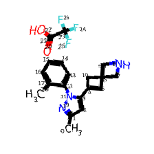 Cc1cc(C2=CC3(CNC3)C2)n(-c2ccccc2C)n1.O=C(O)C(F)(F)F